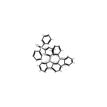 O=P(c1ccccc1)(c1ccccc1)c1cccc(-n2c3ccccc3c3ccc4c5ccccc5n(-c5ccccc5)c4c32)n1